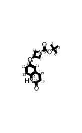 CC(C)(C)OC(=O)N1CC(Oc2ccc3[nH]c(=O)ccc3c2)C1